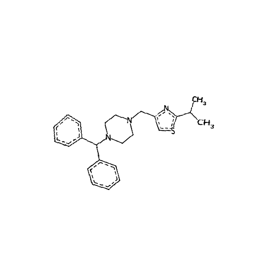 CC(C)c1nc(CN2CCN(C(c3ccccc3)c3ccccc3)CC2)cs1